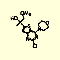 COCC(C)(O)c1cc2nc(Cl)nc(N3CCOCC3)c2s1